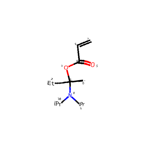 [CH2]C(CC)(OC(=O)C=C)N(C(C)C)C(C)C